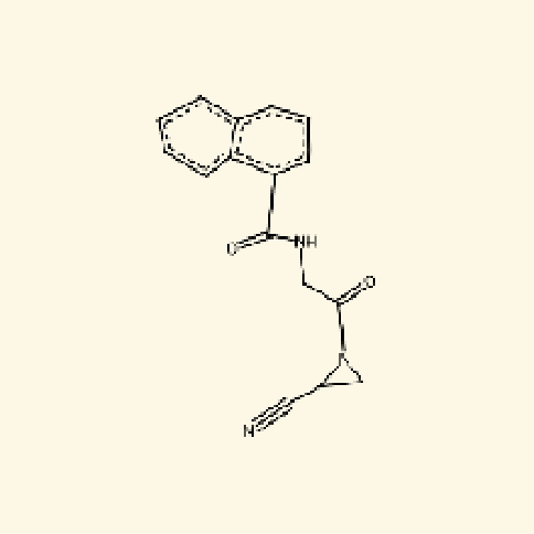 N#CC1CN1C(=O)CNC(=O)c1cccc2ccccc12